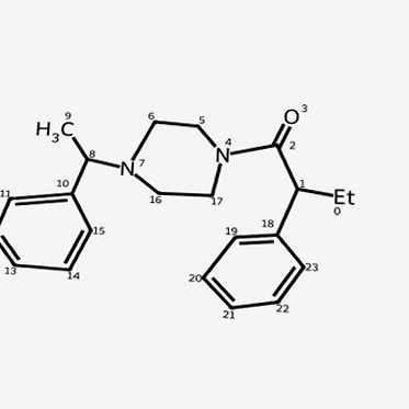 CCC(C(=O)N1CCN(C(C)c2ccccc2)CC1)c1ccccc1